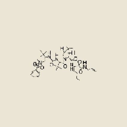 C=CCNC(=O)C(=O)C(CCCC)NC(=O)[C@@H]1[C@@H]2[C@H](CN1C(=O)[C@@H](NC(=O)N[C@H](CN(C)S(=O)(=O)c1ccccc1)C(C)(C)C)C(C)(C)C)C2(C)C